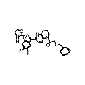 O=C(COCc1ccccc1)N1CCCc2nc(-c3nn(C4NCCO4)c4cc(F)c(F)cc34)ccc21